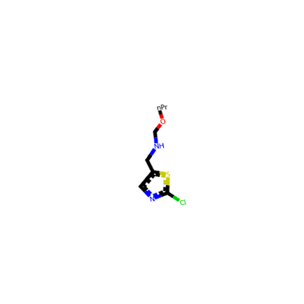 CCCOCNCc1cnc(Cl)s1